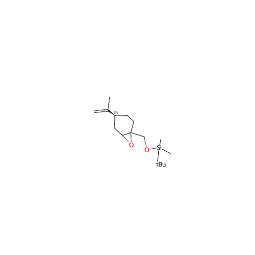 C=C(C)[C@H]1CCC2(CO[Si](C)(C)C(C)(C)C)OC2C1